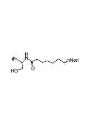 CCCCCCCCCCCCCCCC(=O)NC(CO)C(C)C